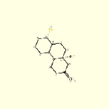 C=C1CCC2C3CCC[C@H](S)C3CC[C@H]2C1